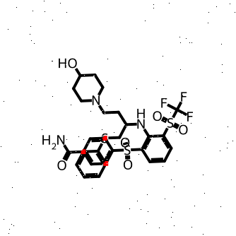 NC(=O)c1ccc(S(=O)(=O)c2cccc(S(=O)(=O)C(F)(F)F)c2NC(CCN2CCC(O)CC2)CSc2ccccc2)cc1